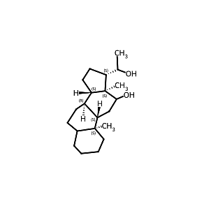 CC(O)[C@H]1CC[C@H]2[C@@H]3CCC4CCCC[C@]4(C)[C@H]3CC(O)[C@]12C